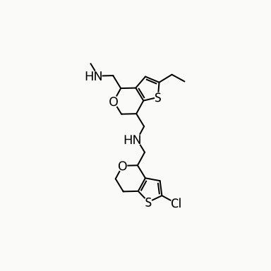 CCc1cc2c(s1)C(CNCC1OCCc3sc(Cl)cc31)COC2CNC